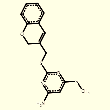 CSc1cc(N)nc(SCC2=Cc3ccccc3OC2)n1